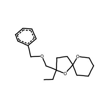 CCC1(COCc2ccccc2)CCC2(CCCCO2)O1